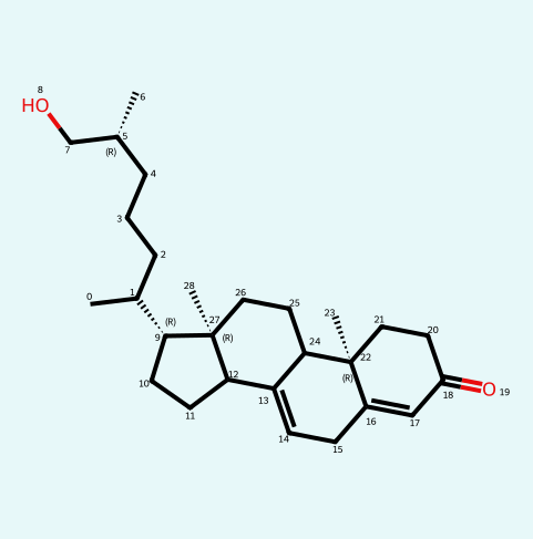 CC(CCC[C@@H](C)CO)[C@H]1CCC2C3=CCC4=CC(=O)CC[C@]4(C)C3CC[C@@]21C